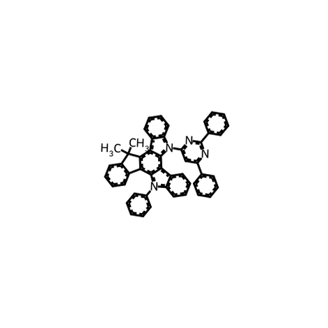 CC1(C)c2ccccc2-c2c1c1c3ccccc3n(-c3cc(-c4ccccc4)nc(-c4ccccc4)n3)c1c1c3ccccc3n(-c3ccccc3)c21